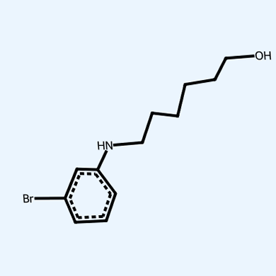 OCCCCCCNc1cccc(Br)c1